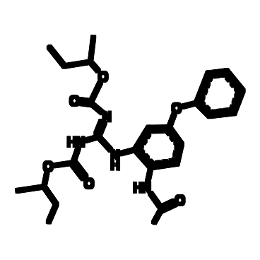 CCC(C)OC(=O)N=C(NC(=O)OC(C)CC)Nc1cc(Oc2ccccc2)ccc1NC(C)=O